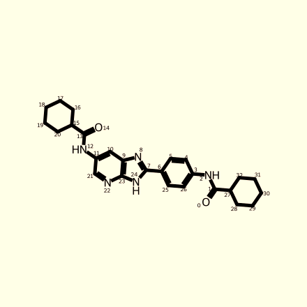 O=C(Nc1ccc(-c2nc3cc(NC(=O)C4CCCCC4)cnc3[nH]2)cc1)C1CCCCC1